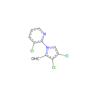 O=Cc1c(Cl)c(Cl)cn1-c1ncccc1Cl